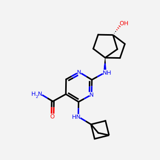 NC(=O)c1cnc(N[C@]23CC[C@@](O)(CC2)C3)nc1NC12CC(C1)C2